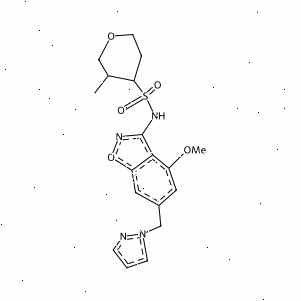 COc1cc(Cn2cccn2)cc2onc(NS(=O)(=O)C3CCOCC3C)c12